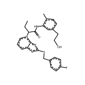 CCC(C(=O)Nc1cc(CCO)ccc1C)n1cccc2nc(SCc3ccc(F)cc3)nc1-2